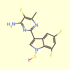 Cc1nc(-c2cn(SI)c3c(F)cc(F)cc23)nc(N)c1F